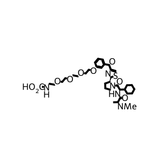 CN[C@@H](C)C(=O)N[C@H](C(=O)N1CCC[C@H]1c1nc(C(=O)c2cccc(OCCOCCOCCOCCNC(=O)O)c2)cs1)C1CCCCC1